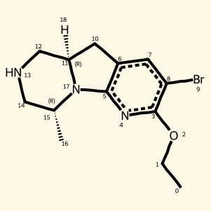 CCOc1nc2c(cc1Br)C[C@@H]1CNC[C@@H](C)N21